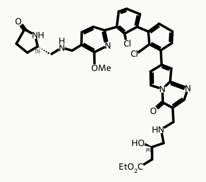 CCOC(=O)C[C@@H](O)CNCc1cnc2cc(-c3cccc(-c4cccc(-c5ccc(CNC[C@@H]6CCC(=O)N6)c(OC)n5)c4Cl)c3Cl)ccn2c1=O